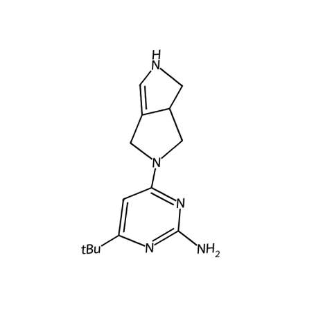 CC(C)(C)c1cc(N2CC3=CNCC3C2)nc(N)n1